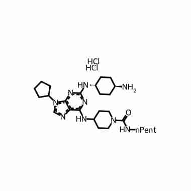 CCCCCNC(=O)N1CCC(Nc2nc(N[C@H]3CC[C@H](N)CC3)nc3c2ncn3C2CCCC2)CC1.Cl.Cl